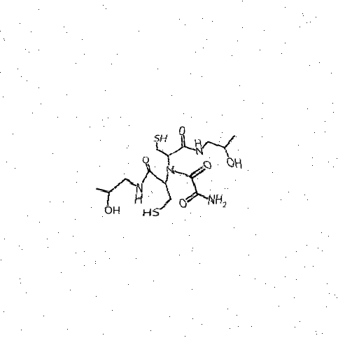 CC(O)CNC(=O)C(CS)N(C(=O)C(N)=O)C(CS)C(=O)NCC(C)O